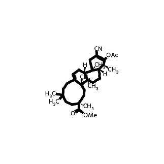 COC(=O)[C@@]1(C)CCC(C)(C)CCC2=CC[C@@H]3[C@@]4(C)CC(C#N)=C(OC(C)=O)[C@@H](C)[C@@H]4CC[C@@]3(C)[C@]2(C)CC1